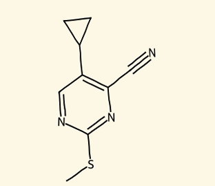 CSc1ncc(C2CC2)c(C#N)n1